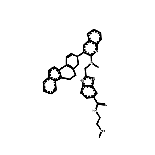 CNCCNC(=O)c1ccc2[nH]c(CN(C)c3nc4ccccc4cc3C3C=CC4=C(CCc5c4ccc4ccccc54)C3)nc2c1